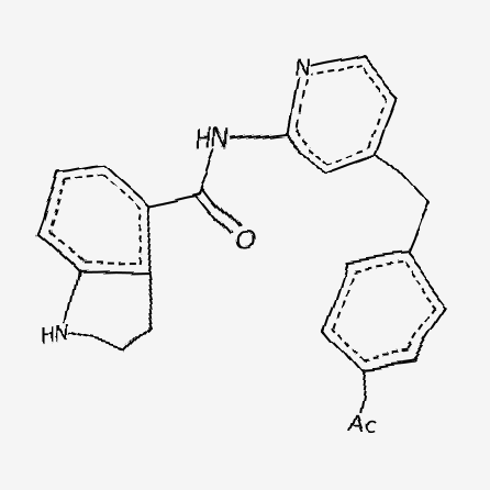 CC(=O)c1ccc(Cc2ccnc(NC(=O)c3cccc4c3CCN4)c2)cc1